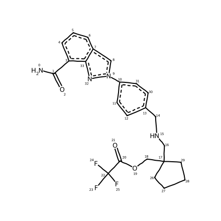 NC(=O)c1cccc2cn(-c3ccc(CNCC4(COC(=O)C(F)(F)F)CCCC4)cc3)nc12